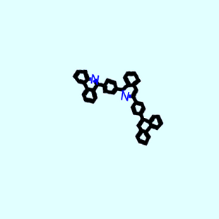 c1ccc2c(-c3ccc(-c4nc5ccccc5c5ccccc45)cc3)nc(-c3ccc(-c4cc5ccccc5c5ccccc45)cc3)cc2c1